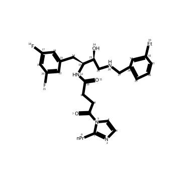 CCCc1nccn1C(=O)CCC(=O)N[C@@H](Cc1cc(F)cc(F)c1)[C@@H](O)CNCc1cccc(CC)c1